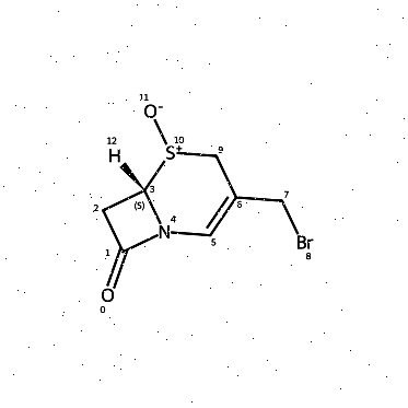 O=C1C[C@H]2N1C=C(CBr)C[S+]2[O-]